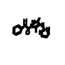 Cc1nn(C(=O)Nc2ccccc2)c(C)c1Sc1ncccn1